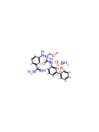 COCN(Nc1cccc(C(=N)N)c1)C(=O)Nc1cccc(-c2ccccc2)c1S(N)(=O)=O